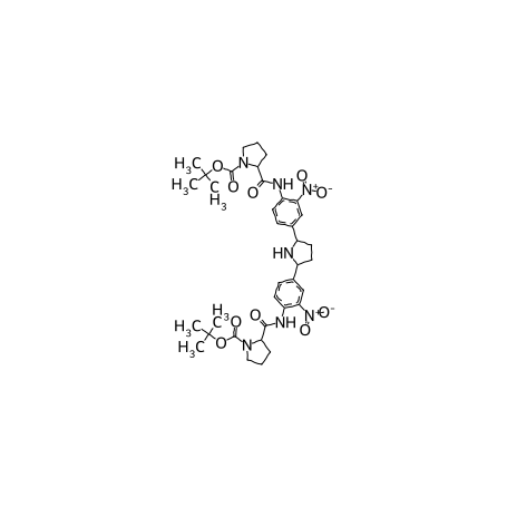 CC(C)(C)OC(=O)N1CCCC1C(=O)Nc1ccc(C2CCC(c3ccc(NC(=O)C4CCCN4C(=O)OC(C)(C)C)c([N+](=O)[O-])c3)N2)cc1[N+](=O)[O-]